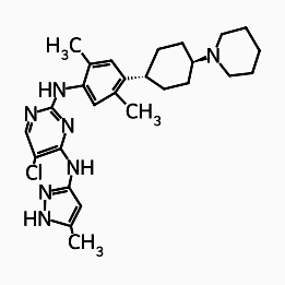 Cc1cc(Nc2nc(Nc3cc(C)c([C@H]4CC[C@H](N5CCCCC5)CC4)cc3C)ncc2Cl)n[nH]1